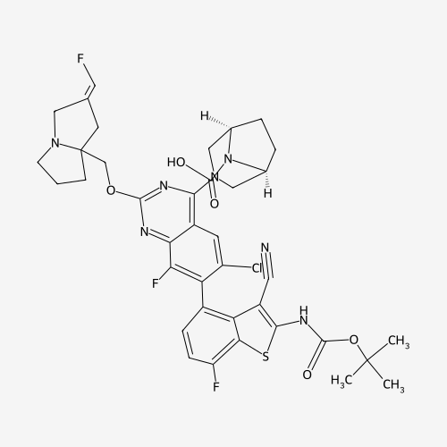 CC(C)(C)OC(=O)Nc1sc2c(F)ccc(-c3c(Cl)cc4c(N5C[C@H]6CC[C@@H](C5)N6C(=O)O)nc(OCC56CCCN5C/C(=C\F)C6)nc4c3F)c2c1C#N